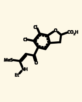 CCNC(=CC(=O)c1cc2c(c(Cl)c1Cl)OC(C(=O)O)C2)SC